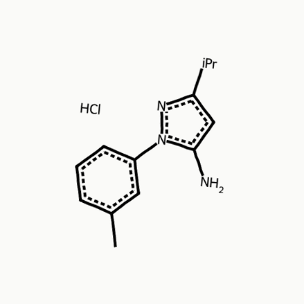 Cc1cccc(-n2nc(C(C)C)cc2N)c1.Cl